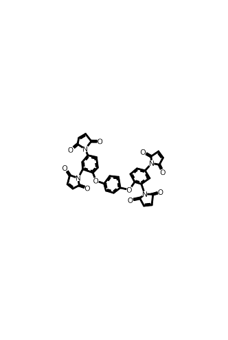 O=C1C=CC(=O)N1c1ccc(Oc2ccc(Oc3ccc(N4C(=O)C=CC4=O)cc3N3C(=O)C=CC3=O)cc2)c(N2C(=O)C=CC2=O)c1